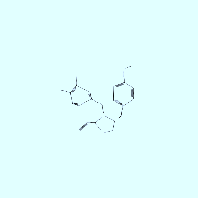 COc1ccc(C[C@H]2COC(C=O)N2Cc2ccc(F)c(F)c2)cc1